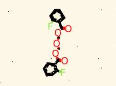 O=C(OCOCOC(=O)c1ccccc1F)c1ccccc1F